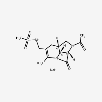 CS(=O)(=O)NCC1=C(C(=O)O)N2C(=O)[C@@H]3[C@H]2[C@H](C1)CN3C(=O)C(F)(F)F.[NaH]